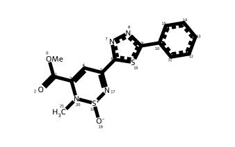 COC(=O)C1=CC(c2nnc(-c3ccccc3)s2)=N[S+]([O-])N1C